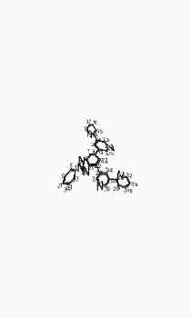 c1ccc(-n2nc3cc(-c4cncc(-c5ccccn5)c4)cc(-c4cncc(-c5ccccn5)c4)c3n2)cc1